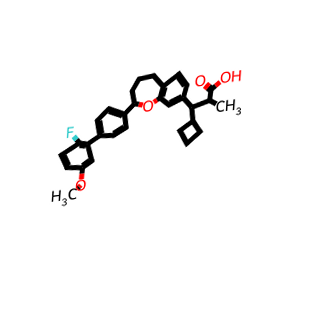 COc1ccc(F)c(-c2ccc(C3CCCc4ccc(C(C5CCC5)C(C)C(=O)O)cc4O3)cc2)c1